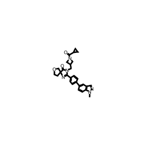 Cn1ncc2cc(-c3ccc(C4=NC5(CCOC5)C(=O)N4CC4CN(C(=O)C5CC5)C4)cc3)ccc21